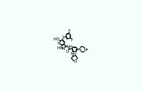 CN1CCN(c2ccc(C(=O)Nc3n[nH]c4nc(O)c(Sc5cc(F)cc(F)c5)cc34)c(NC3CCOCC3)c2)CC1